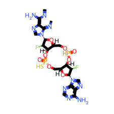 C=N/C(N)=C1/N=CN([C@@H]2O[C@@H]3CO[PH](=O)O[C@H]4[C@@H](F)[C@H](n5cnc6c(N)ncnc65)O[C@@H]4CO[P@](=O)(S)O[C@H]3[C@H]2F)/C1=N/C